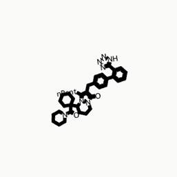 CCCCCc1c(Cc2ccc(-c3ccccc3-c3nnn[nH]3)cc2)c(=O)n2n1C(C1(C(=O)N3CCCCC3)CCCCC1)CCC2